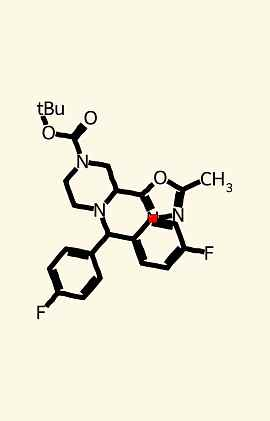 Cc1nnc(C2CN(C(=O)OC(C)(C)C)CCN2C(c2ccc(F)cc2)c2ccc(F)cc2)o1